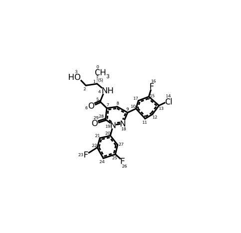 C[C@@H](CO)NC(=O)c1cc(-c2ccc(Cl)c(F)c2)nn(-c2cc(F)cc(F)c2)c1=O